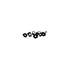 O=C(c1cccc2c1ccn2Cc1ccc(F)cc1Cl)N1CCN(C2CCCC2)CC1